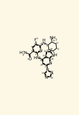 NC(=O)c1cc(F)c(N[C@@H]2CCCC[C@@H]2N)nc1Nc1cc(-n2cncn2)nc2[nH]ccc12